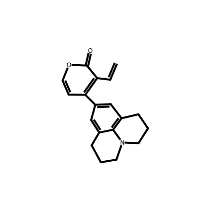 C=Cc1c(-c2cc3c4c(c2)CCCN4CCC3)ccoc1=O